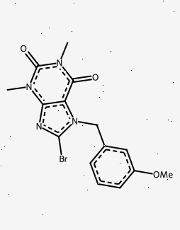 COc1cccc(Cn2c(Br)nc3c2c(=O)n(C)c(=O)n3C)c1